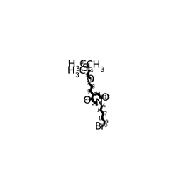 C[Si](C)(C)CCOCCCC1CC(=O)N(CCCCCBr)CC1=O